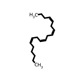 CCC/C=C\C/C=C\C/C=C\C/C=C\CCCCC